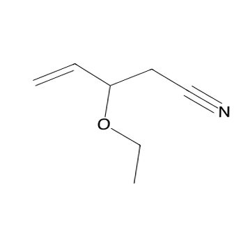 C=CC(CC#N)OCC